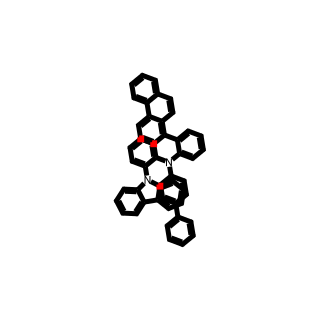 c1ccc(-c2ccc(N(c3ccccc3-c3cccc4c3ccc3ccccc34)c3ccccc3-n3c4ccccc4c4ccccc43)cc2)cc1